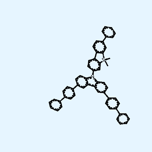 C[Si]1(C)c2cc(-c3ccccc3)ccc2-c2ccc(-n3c4ccc(-c5ccc(-c6ccccc6)cc5)cc4c4cc(-c5ccc(-c6ccccc6)cc5)ccc43)cc21